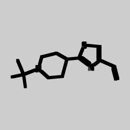 C=Cc1csc(C2CCN(C(C)(C)C)CC2)n1